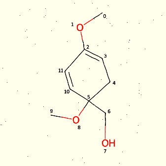 COC1=CCC(CO)(OC)C=C1